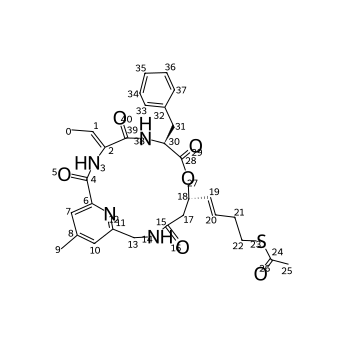 C/C=C1\NC(=O)c2cc(C)cc(n2)CNC(=O)C[C@@H](/C=C/CCSC(C)=O)OC(=O)[C@H](Cc2ccccc2)NC1=O